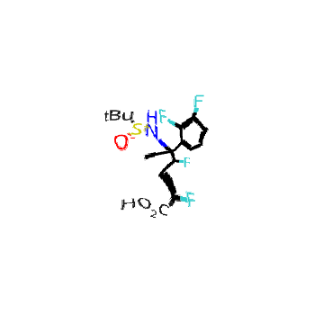 CC(N[S@+]([O-])C(C)(C)C)(c1cccc(F)c1F)C(F)C=C(F)C(=O)O